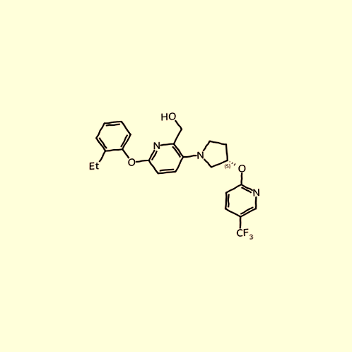 CCc1ccccc1Oc1ccc(N2CC[C@H](Oc3ccc(C(F)(F)F)cn3)C2)c(CO)n1